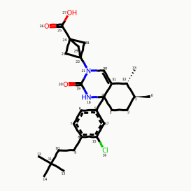 C[C@H]1CCC2(c3ccc(CCC(C)(C)C)c(Cl)c3)NC(=O)N(C34CC(C(=O)O)(C3)C4)C=C2[C@@H]1C